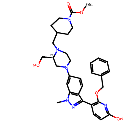 Cn1nc(-c2ccc(O)nc2OCc2ccccc2)c2ccc(N3CCN(CC4CCN(C(=O)OC(C)(C)C)CC4)[C@H](CO)C3)cc21